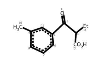 CCC(C(=O)O)C(=O)c1cccc(C)c1